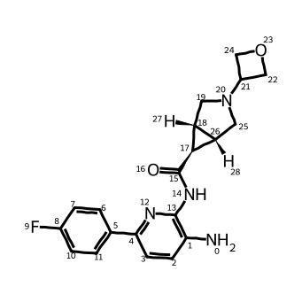 Nc1ccc(-c2ccc(F)cc2)nc1NC(=O)[C@H]1[C@@H]2CN(C3COC3)C[C@@H]21